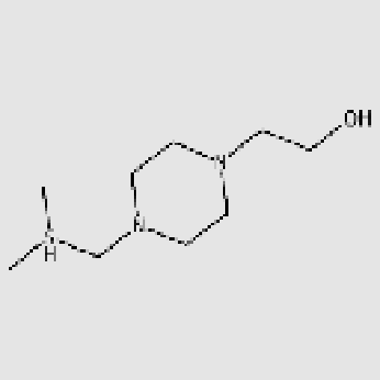 C[SH](C)CN1CCN(CCO)CC1